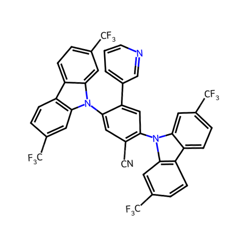 N#Cc1cc(-n2c3cc(C(F)(F)F)ccc3c3ccc(C(F)(F)F)cc32)c(-c2cccnc2)cc1-n1c2cc(C(F)(F)F)ccc2c2ccc(C(F)(F)F)cc21